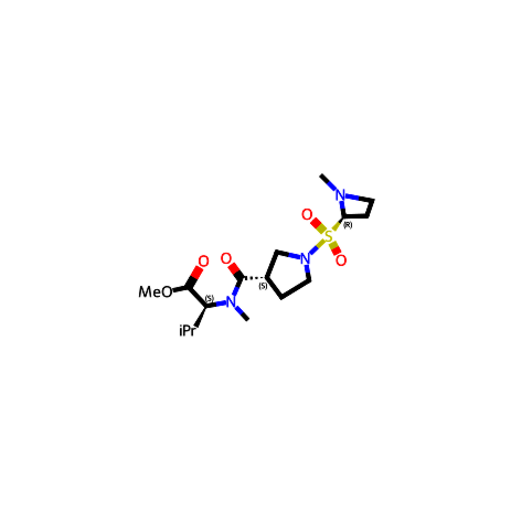 COC(=O)[C@H](C(C)C)N(C)C(=O)[C@H]1CCN(S(=O)(=O)[C@@H]2CCN2C)C1